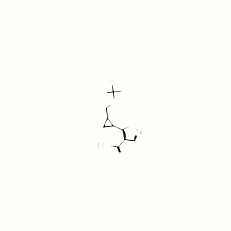 CC(C)(C)OCC1CC1c1oncc1C(=O)O